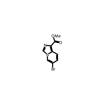 COC(=O)c1ncn2cc(Br)ccc12